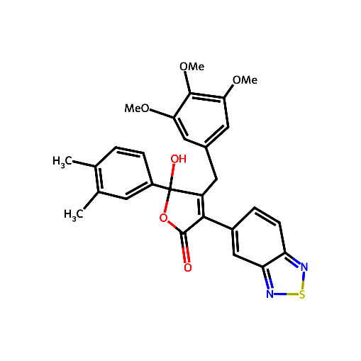 COc1cc(CC2=C(c3ccc4nsnc4c3)C(=O)OC2(O)c2ccc(C)c(C)c2)cc(OC)c1OC